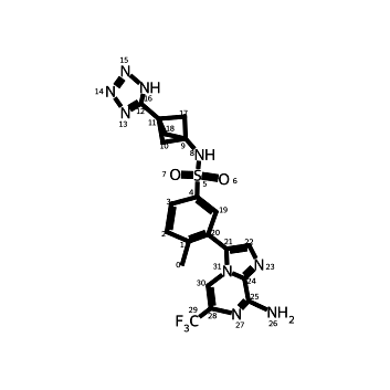 Cc1ccc(S(=O)(=O)NC23CC(c4nnn[nH]4)(C2)C3)cc1-c1cnc2c(N)nc(C(F)(F)F)cn12